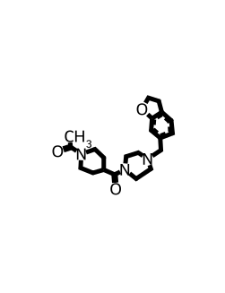 CC(=O)N1CCC(C(=O)N2CCN(Cc3ccc4c(c3)OCC4)CC2)CC1